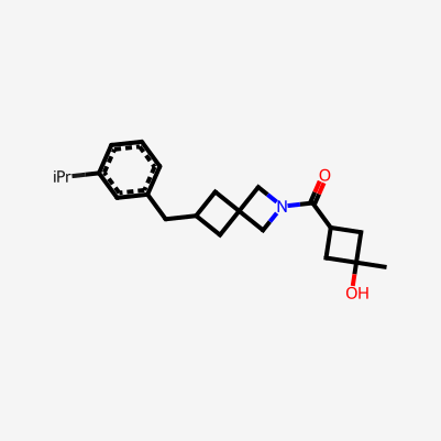 CC(C)c1cccc(CC2CC3(C2)CN(C(=O)C2CC(C)(O)C2)C3)c1